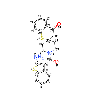 Nc1sc2ccccc2c1C(=O)N1CCC2(CC1)CC(=O)c1ccccc1S2